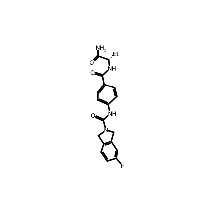 CC[C@H](NC(=O)c1ccc(NC(=O)N2Cc3ccc(F)cc3C2)cc1)C(N)=O